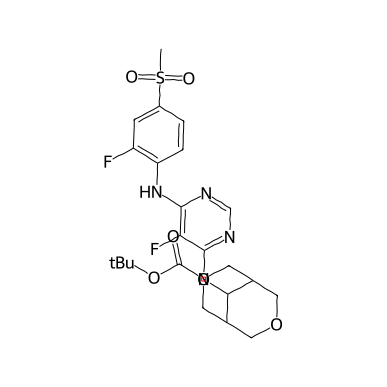 CC(C)(C)OC(=O)N1CC2COCC(C1)C2Oc1ncnc(Nc2ccc(S(C)(=O)=O)cc2F)c1F